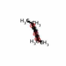 CCCCCC[C@H](C)OC(=O)c1ccc(-c2ccc(OC(=O)c3ccc(OC(=O)C(C)OCCC)cc3)cc2)cc1